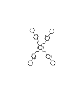 C(=Cc1nc(C=Cc2ccc(C3CCCCC3)nc2)c(C=Cc2ccc(C3CCCCC3)nc2)nc1C=Cc1ccc(C2CCCCC2)nc1)c1ccc(C2CCCCC2)nc1